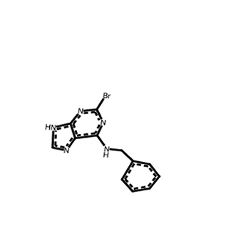 Brc1nc(NCc2ccccc2)c2nc[nH]c2n1